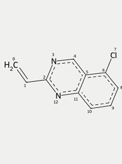 C=Cc1ncc2c(Cl)cccc2n1